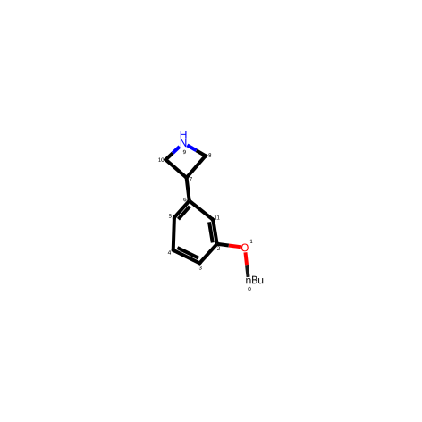 CCCCOc1cccc(C2CNC2)c1